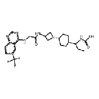 CCC(NC(=O)O)[C@H]1CC[C@H](N2CC(NC(=O)CNc3ncnc4ccc(C(F)(F)F)cc34)C2)CC1